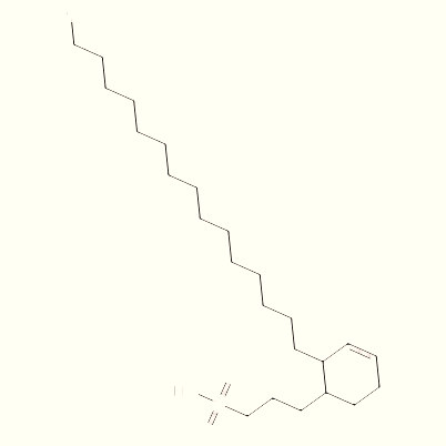 CCCCCCCCCCCCCCCCC1C=CCCC1CCCS(=O)(=O)O